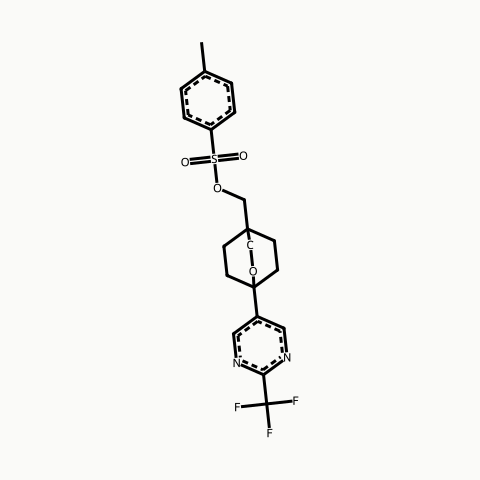 Cc1ccc(S(=O)(=O)OCC23CCC(c4cnc(C(F)(F)F)nc4)(CC2)OC3)cc1